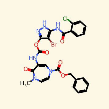 CN1C=CN(C(=O)OCc2ccccc2)C=C(NC(=O)Oc2n[nH]c(NC(=O)c3ccccc3Cl)c2Br)C1=O